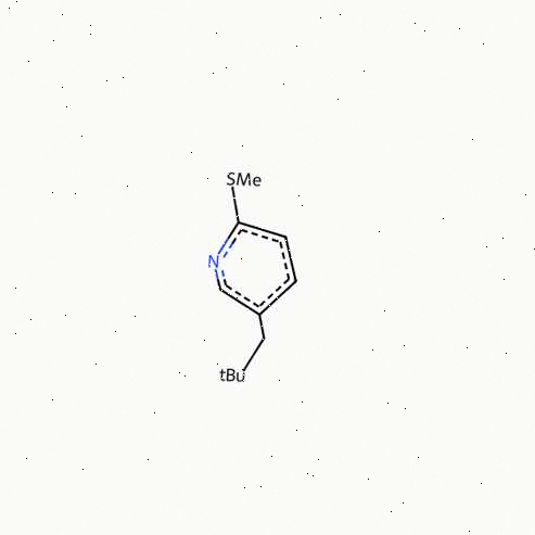 CSc1ccc(CC(C)(C)C)cn1